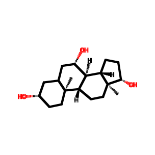 C[C@]12CC[C@H]3[C@@H]([C@@H](O)CC4C[C@@H](O)CC[C@@]43C)[C@@H]1CC[C@@H]2O